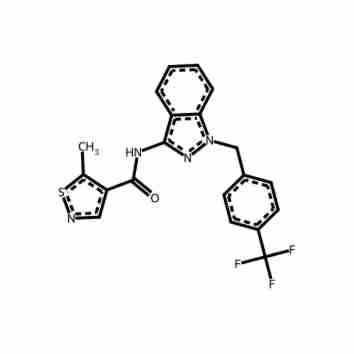 Cc1sncc1C(=O)Nc1nn(Cc2ccc(C(F)(F)F)cc2)c2ccccc12